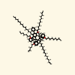 CCCCCCCCCCCCCCCc1c(-c2ccccc2)c(CCCCCCCCCCCCC)c2c(c1-c1ccccc1)C(CCCCCCCC)(CCCCCCCCCC)C(CCCCCCCCCCCCCCC)(c1ccccc1)C(CCCCCCCCCCCC)(C(C)C)C2(c1ccccc1)C(C)C